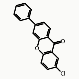 O=c1c2ccc(-c3ccccc3)cc2oc2ccc(Cl)cc12